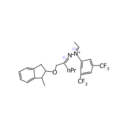 C/C=[N+](\N=C(/CCC)COC1Cc2ccccc2C1C)c1cc(C(F)(F)F)cc(C(F)(F)F)c1